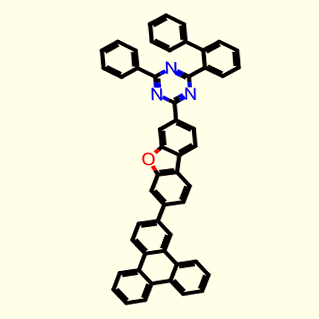 c1ccc(-c2nc(-c3ccc4c(c3)oc3cc(-c5ccc6c7ccccc7c7ccccc7c6c5)ccc34)nc(-c3ccccc3-c3ccccc3)n2)cc1